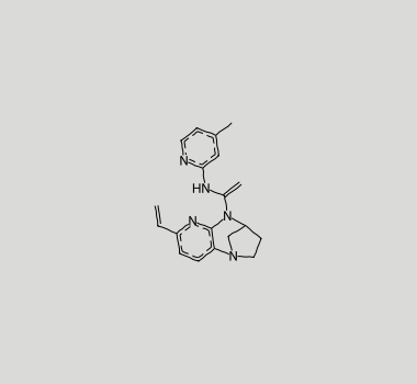 C=Cc1ccc2c(n1)N(C(=C)Nc1cc(C)ccn1)C1CCN2C1